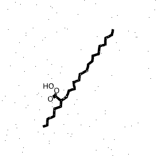 CCCCCCCCCCCCCCCCC(CCCCCC)C(=O)OO